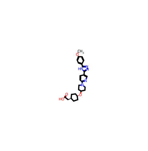 COc1ccc(-c2nnc(-c3ccc(N4CCC(O[C@H]5CC[C@H](CC(=O)O)CC5)CC4)nc3)[nH]2)cc1